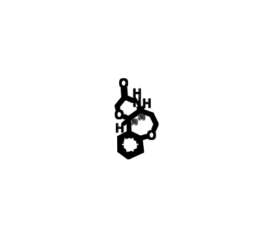 O=C1CO[C@H]2c3ccccc3OCC[C@@H]2N1